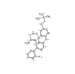 CC(C)(C)COc1cnc2c(c1)C1(COCC(N)=N1)c1cc(-c3cccnc3F)ccc1O2